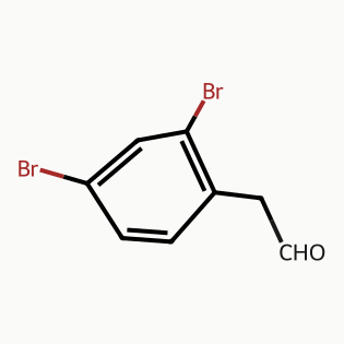 O=CCc1ccc(Br)cc1Br